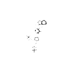 CO[C@]1(Nc2ncnc(O[C@@H]3C[C@@H](CO[Si](C)(C)C(C)(C)C)[C@@H](O[Si](C)(C)C(C)(C)C)C3)c2F)CCc2ccccc21